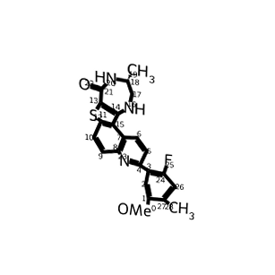 COc1cc(-c2ccc3c(ccc4sc5c(c43)NC[C@@H](C)NC5=O)n2)c(F)cc1C